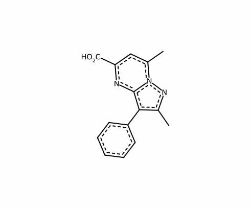 Cc1nn2c(C)cc(C(=O)O)nc2c1-c1ccccc1